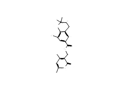 Cc1cc(C)c(CNC(=O)c2cc(Br)c3c(c2)CCC(C)(C)O3)c(=O)[nH]1